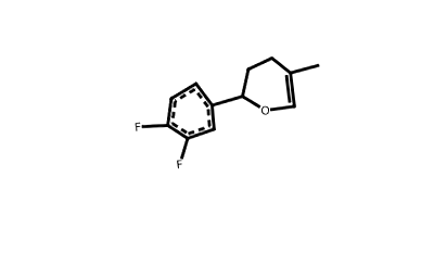 CC1=COC(c2ccc(F)c(F)c2)CC1